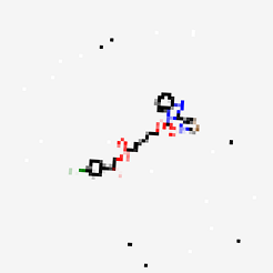 O=C(CCCCCOC(=O)n1c(-c2cscn2)nc2ccccc21)OCC(=O)c1ccc(Br)cc1